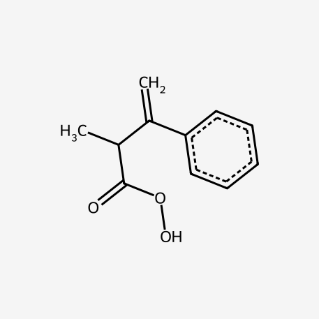 C=C(c1ccccc1)C(C)C(=O)OO